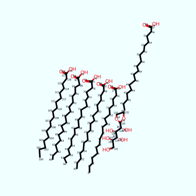 CCCCCCCCCCCCCCCCCC(=O)O.CCCCCCCCCCCCCCCCCC(=O)O.CCCCCCCCCCCCCCCCCC(=O)O.CCCCCCCCCCCCCCCCCC(=O)O.CCCCCCCCCCCCCCCCCC(=O)O.CCCCCCCCCCCCCCCCCC(=O)O.OC[C@@H](O)[C@@H](O)[C@H](O)[C@@H](O)C1OCCO1